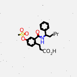 CC(C)CC(NC(=O)c1cc(OS(C)(=O)=O)ccc1CCC(=O)O)c1ccccc1